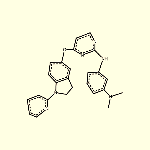 CN(C)c1cccc(Nc2nccc(Oc3ccc4c(c3)CCN4c3ccccn3)n2)c1